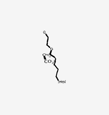 CC(=O)O.CCCCCCCCCCCCOCC[O]